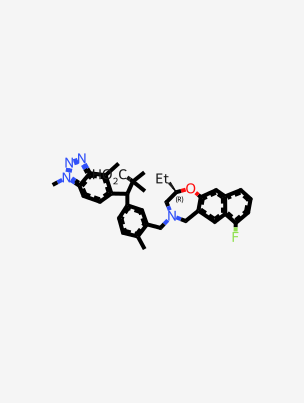 CC[C@@H]1CN(Cc2cc(C(c3ccc4c(nnn4C)c3C)C(C)(C)C(=O)O)ccc2C)Cc2cc3c(F)cccc3cc2O1